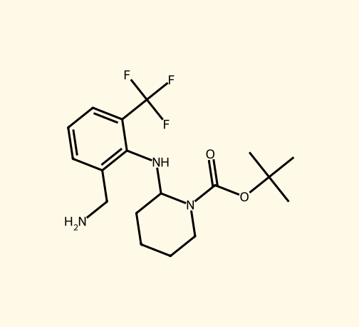 CC(C)(C)OC(=O)N1CCCCC1Nc1c(CN)cccc1C(F)(F)F